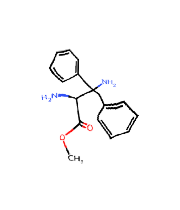 COC(=O)[C@@H](N)C(N)(c1ccccc1)c1ccccc1